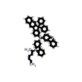 C=C/C=C\C=C(/C)n1c2ccccc2c2cc(N(c3ccc4c(c3)C(c3ccccc3)(c3ccccc3)c3cc5ccccc5cc3-4)c3ccc4sc5ccccc5c4c3)ccc21